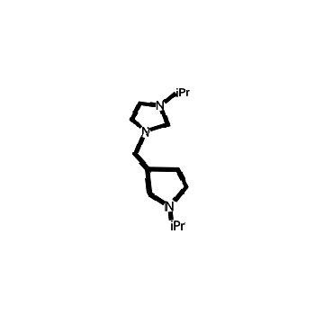 CC(C)N1CCC(CN2CCN(C(C)C)C2)C1